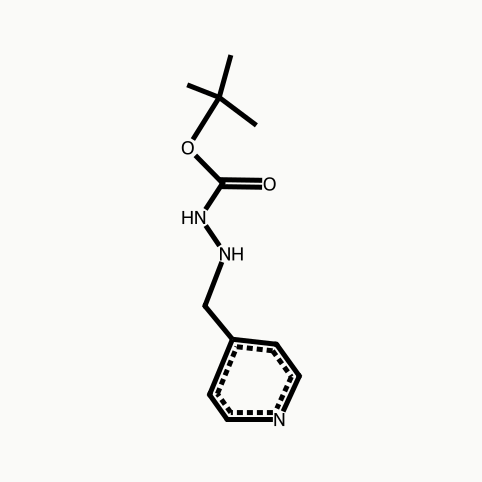 CC(C)(C)OC(=O)NNCc1ccncc1